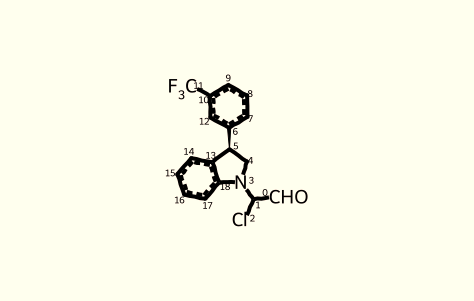 O=CC(Cl)N1C[C@H](c2cccc(C(F)(F)F)c2)c2ccccc21